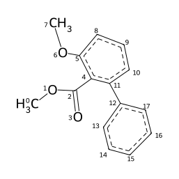 COC(=O)c1c(OC)cccc1-c1ccccc1